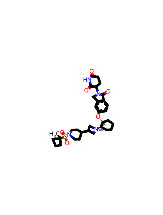 CC1(S(=O)(=O)N2CCC(C3CN([C@@H]4CCCC[C@H]4Oc4ccc5c(c4)CN(C4CCC(=O)NC4=O)C5=O)C3)CC2)CCC1